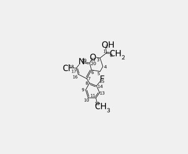 C=C(O)C1CCc2c(-c3ccc(C)cc3F)cc(Cl)nc2O1